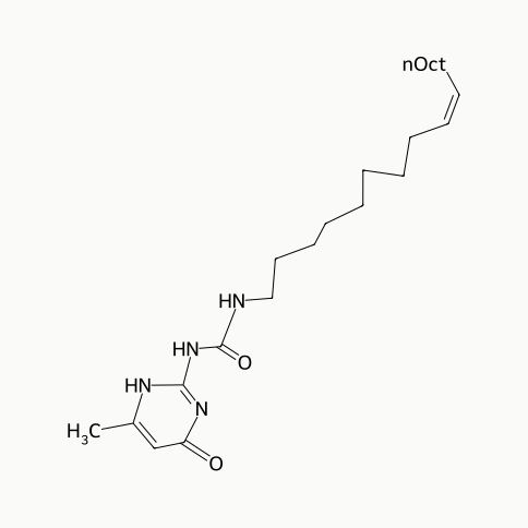 CCCCCCCC/C=C\CCCCCCCCNC(=O)Nc1nc(=O)cc(C)[nH]1